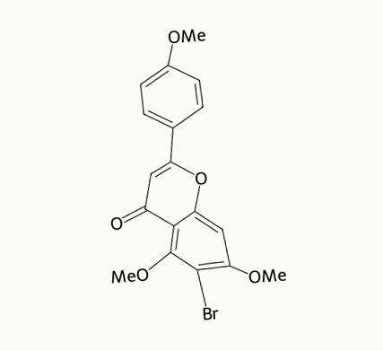 COc1ccc(-c2cc(=O)c3c(OC)c(Br)c(OC)cc3o2)cc1